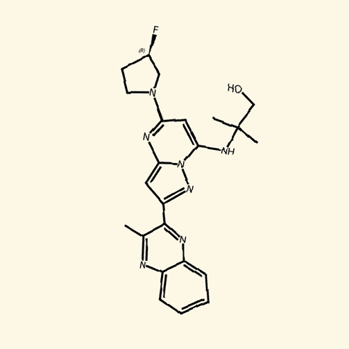 Cc1nc2ccccc2nc1-c1cc2nc(N3CC[C@@H](F)C3)cc(NC(C)(C)CO)n2n1